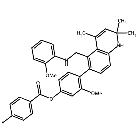 COc1ccccc1NCc1c(-c2ccc(OC(=O)c3ccc(F)cc3)cc2OC)ccc2c1C(C)=CC(C)(C)N2